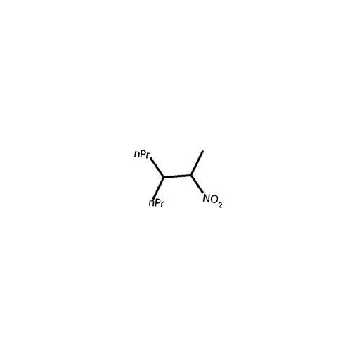 CCCC(CCC)C(C)[N+](=O)[O-]